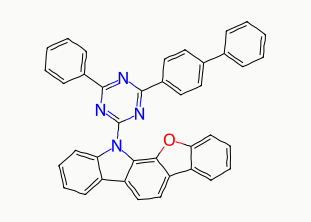 c1ccc(-c2ccc(-c3nc(-c4ccccc4)nc(-n4c5ccccc5c5ccc6c7ccccc7oc6c54)n3)cc2)cc1